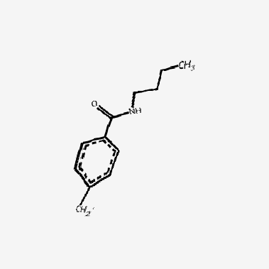 [CH2]c1ccc(C(=O)NCCCC)cc1